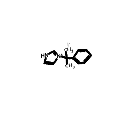 CC(C)(c1ccccc1)[n+]1cc[nH]c1.[I-]